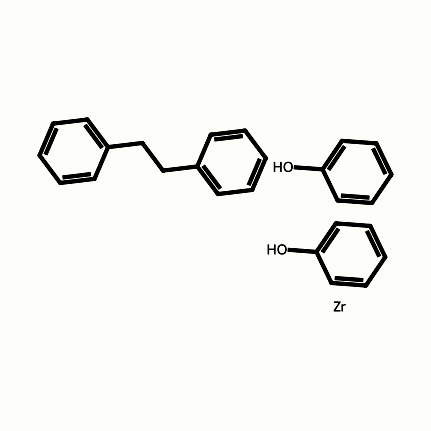 Oc1ccccc1.Oc1ccccc1.[Zr].c1ccc(CCc2ccccc2)cc1